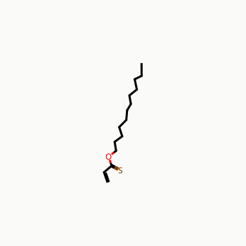 C=CC(=S)OCCCCCCCCCCCC